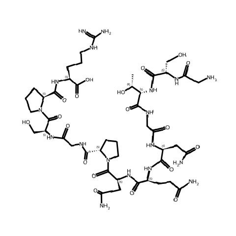 C[C@@H](O)[C@H](NC(=O)[C@H](CO)NC(=O)CN)C(=O)NCC(=O)N[C@@H](CC(N)=O)C(=O)N[C@@H](CCC(N)=O)C(=O)N[C@@H](CC(N)=O)C(=O)N1CCC[C@H]1C(=O)NCC(=O)N[C@@H](CO)C(=O)N1CCC[C@H]1C(=O)N[C@@H](CCCNC(=N)N)C(=O)O